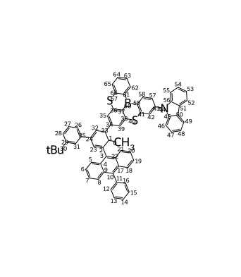 CC1C(c2c3ccccc3c(-c3ccccc3)c3ccccc23)=CC(c2cccc(C(C)(C)C)c2)=CC1c1cc2c3c(c1)Sc1cc(-n4c5ccccc5c5ccccc54)ccc1B3c1ccccc1S2